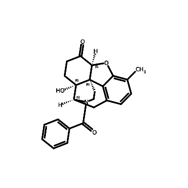 Cc1ccc2c3c1O[C@@H]1C(=O)CC[C@]4(O)[C@H](C2)N(C(=O)c2ccccc2)CC[C@@]314